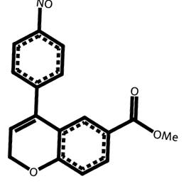 COC(=O)c1ccc2c(c1)C(c1ccc(N=O)cc1)=CCO2